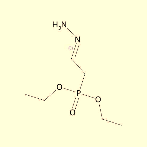 CCOP(=O)(C/C=N/N)OCC